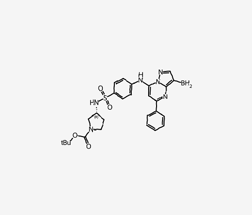 Bc1cnn2c(Nc3ccc(S(=O)(=O)N[C@@H]4CCN(C(=O)OC(C)(C)C)C4)cc3)cc(-c3ccccc3)nc12